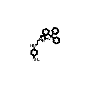 Nc1ccc(NCCn2ccc(NC(c3ccccc3)(c3ccccc3)c3ccccc3)n2)cc1